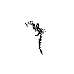 CCCCCCCCCCCCCCC(CCC)n1c(=O)[nH]c2ccccc2c1=Nc1ccc(O)cc1